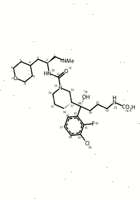 CNC[C@H](CC1CCOCC1)NC(=O)N1CCC[C@@H]([C@@](O)(CCCNC(=O)O)c2cccc(Cl)c2F)C1